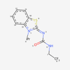 CC(C)n1c(=NC(=O)NCC(F)(F)F)sc2ccccc21